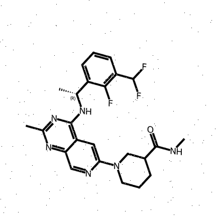 CNC(=O)C1CCCN(c2cc3c(N[C@H](C)c4cccc(C(F)F)c4F)nc(C)nc3cn2)C1